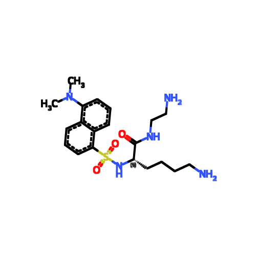 CN(C)c1cccc2c(S(=O)(=O)N[C@@H](CCCCN)C(=O)NCCN)cccc12